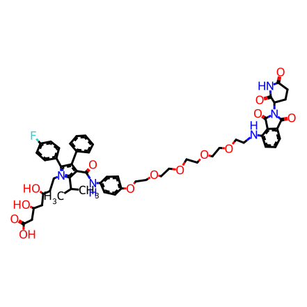 CC(C)c1c(C(=O)Nc2ccc(OCCOCCOCCOCCOCCNc3cccc4c3C(=O)N(C3CCC(=O)NC3=O)C4=O)cc2)c(-c2ccccc2)c(-c2ccc(F)cc2)n1CCC(O)CC(O)CC(=O)O